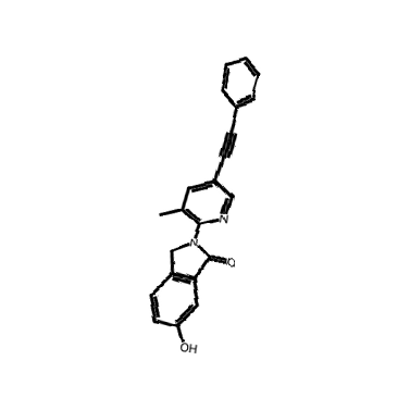 Cc1cc(C#Cc2ccccc2)cnc1N1Cc2ccc(O)cc2C1=O